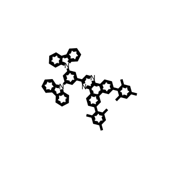 Cc1cc(C)c(-c2ccc3c(c2)c2cc(-c4c(C)cc(C)cc4C)ccc2c2nc(-c4cc(-n5c6ccccc6c6ccccc65)cc(-n5c6ccccc6c6ccccc65)c4)cnc32)c(C)c1